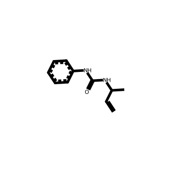 C=CC(C)NC(=O)Nc1ccccc1